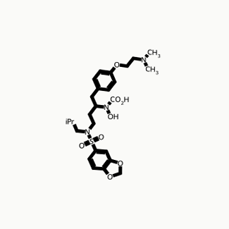 CC(C)CN(CCC(Cc1ccc(OCCN(C)C)cc1)N(O)C(=O)O)S(=O)(=O)c1ccc2c(c1)OCO2